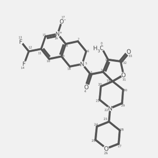 CC1=C(C(=O)N2CCc3c(cc(C(F)F)c[n+]3[O-])C2)C2(CCN(C3CCOCC3)CC2)OC1=O